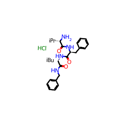 CC[C@H](C)[C@H](NC(=O)[C@H](Cc1ccccc1)NC(=O)[C@@H](N)C(C)C)C(=O)NCc1ccccc1.Cl